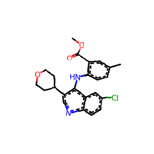 COC(=O)c1cc(C)ccc1Nc1c(C2CCOCC2)cnc2ccc(Cl)cc12